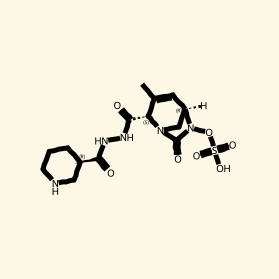 CC1=C[C@@H]2CN(C(=O)N2OS(=O)(=O)O)[C@@H]1C(=O)NNC(=O)[C@@H]1CCCNC1